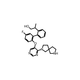 CC(CO)c1ccccc1-c1cc(F)ccc1Oc1cncnc1N1CCC2(CCNC2)C1